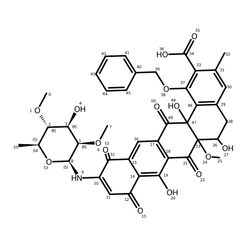 CO[C@@H]1[C@@H](O)[C@@H](OC)[C@@H](NC2=CC(=O)c3c(cc4c(c3O)C(=O)C3(OC)C(O)Cc5cc(C)c(C(=O)O)c(OCc6ccccc6)c5C3(O)C4=O)C2=O)O[C@H]1C